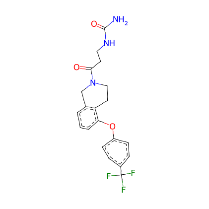 NC(=O)NCCC(=O)N1CCc2c(cccc2Oc2ccc(C(F)(F)F)cc2)C1